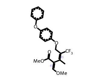 CO/C=C(C(=O)OC)\C(C)=C(/COc1ccc(Oc2ccccc2)cc1)C(F)(F)F